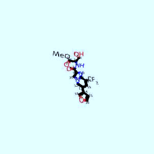 COC(=O)C(CO)NC(=O)c1cn2cc(-c3ccoc3)cc(C(F)(F)F)c2n1